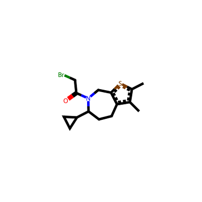 Cc1sc2c(c1C)CCC(C1CC1)N(C(=O)CBr)C2